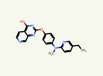 CCc1ccc(N(C)c2ccc(Oc3nc(O)c4ccncc4n3)cc2)nc1